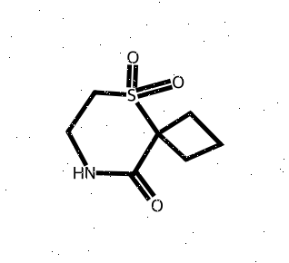 O=C1NCCS(=O)(=O)C12CCC2